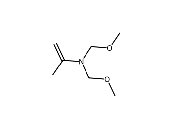 C=C(C)N(COC)COC